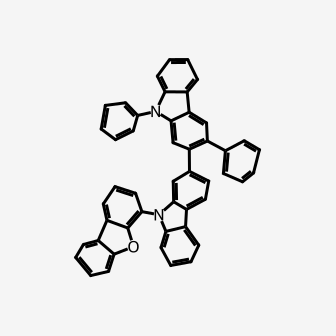 c1ccc(-c2cc3c4ccccc4n(-c4ccccc4)c3cc2-c2ccc3c4ccccc4n(-c4cccc5c4oc4ccccc45)c3c2)cc1